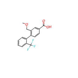 COCc1cc(C(=O)O)ccc1-c1ccccc1C(F)(F)F